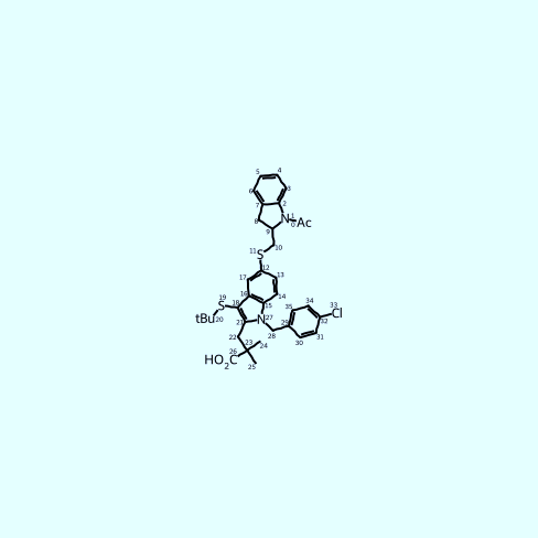 CC(=O)N1c2ccccc2CC1CSc1ccc2c(c1)c(SC(C)(C)C)c(CC(C)(C)C(=O)O)n2Cc1ccc(Cl)cc1